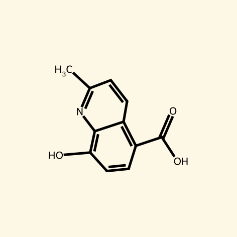 Cc1ccc2c(C(=O)O)ccc(O)c2n1